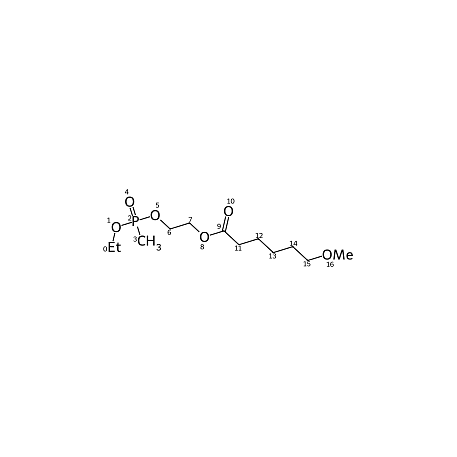 CCOP(C)(=O)OCCOC(=O)CCCCCOC